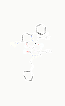 CC(=O)NC(C(C)C)C(O[Si](C)(C)C(C)(C)C)(n1c(-c2ccccc2)ccc(N)c1=O)C(F)(F)C(=O)NCCc1ccccc1